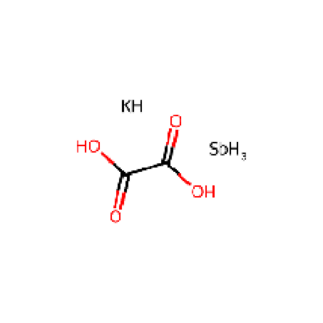 O=C(O)C(=O)O.[KH].[SbH3]